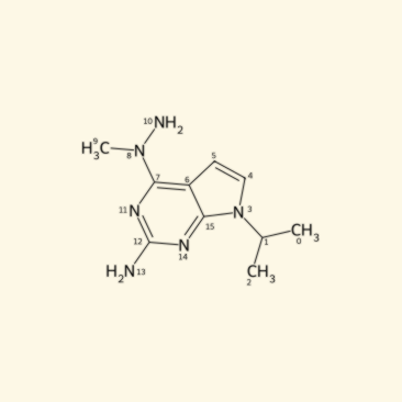 CC(C)n1ccc2c(N(C)N)nc(N)nc21